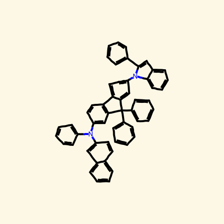 c1ccc(-c2cc3ccccc3n2-c2ccc3c(c2)C(c2ccccc2)(c2ccccc2)c2cc(N(c4ccccc4)c4ccc5ccccc5c4)ccc2-3)cc1